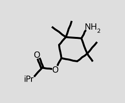 CC(C)C(=O)OC1CC(C)(C)C(N)C(C)(C)C1